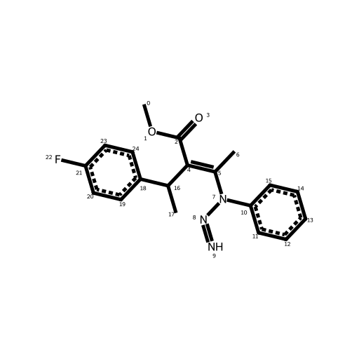 COC(=O)/C(=C(\C)N(N=N)c1ccccc1)C(C)c1ccc(F)cc1